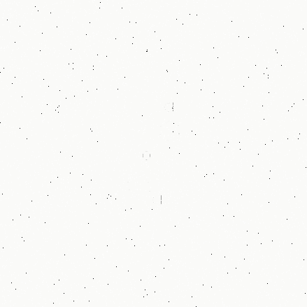 Clc1cccc(COCc2cccc(Cl)c2)c1